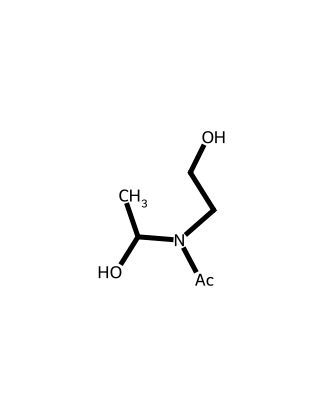 CC(=O)N(CCO)C(C)O